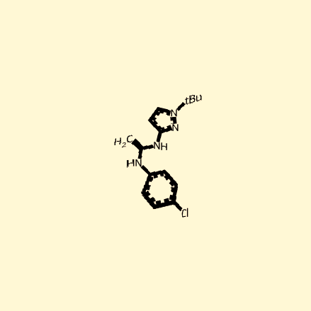 C=C(Nc1ccc(Cl)cc1)Nc1ccn(C(C)(C)C)n1